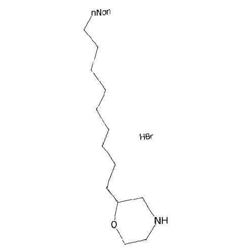 Br.CCCCCCCCCCCCCCCCCCC1CNCCO1